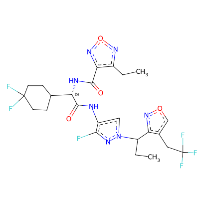 CCc1nonc1C(=O)N[C@H](C(=O)Nc1cn(C(CC)c2nocc2CC(F)(F)F)nc1F)C1CCC(F)(F)CC1